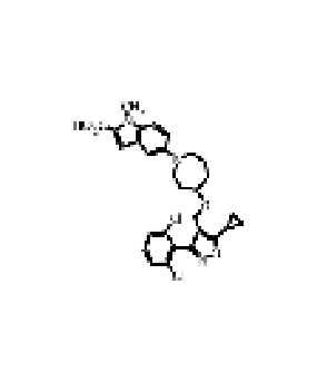 Cn1c(C(=O)O)cc2cc(N3CCCC(OCc4c(-c5c(Cl)cccc5Cl)noc4C4CC4)CC3)ccc21